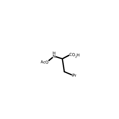 CC(=O)ONC(CC(C)C)C(=O)O